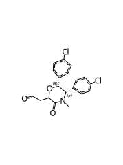 CN1C(=O)C(CC=O)O[C@H](c2ccc(Cl)cc2)[C@@H]1c1ccc(Cl)cc1